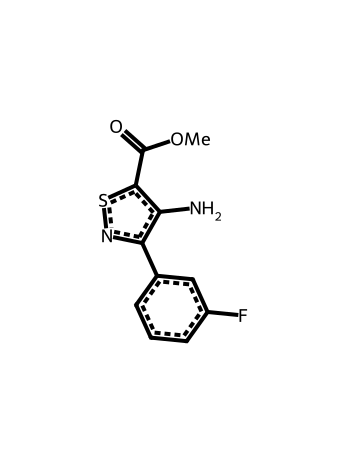 COC(=O)c1snc(-c2cccc(F)c2)c1N